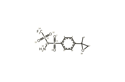 CC1(c2ccc(S(=O)(=O)N(N)S(=O)(=O)C(F)(F)F)cc2)CO1